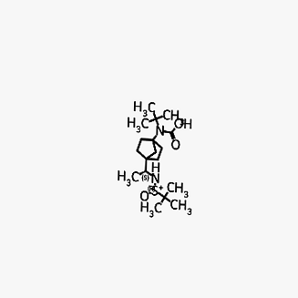 C[C@H](N[S@@+]([O-])C(C)(C)C)C12CCC(N(C(=O)O)C(C)(C)C)(CC1)C2